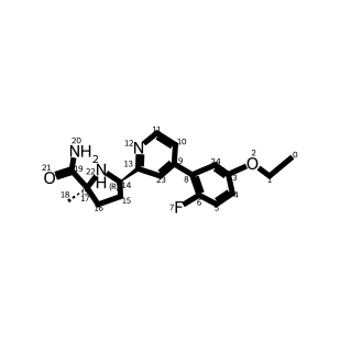 CCOc1ccc(F)c(-c2ccnc([C@H]3CC[C@@](C)(C(N)=O)N3)c2)c1